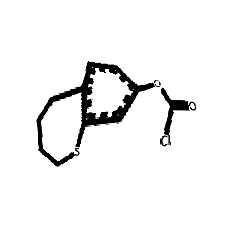 O=C(Cl)Oc1ccc2c(c1)SCCCC2